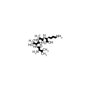 CC(C)[C@H](N)C(=O)N[C@H](C(=O)N[C@@H](C)C(=O)N[C@@H](CCCCN)C(=O)O)[C@@H](C)O